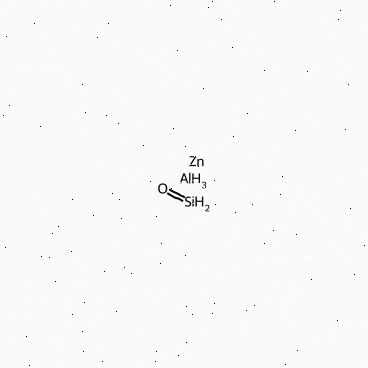 O=[SiH2].[AlH3].[Zn]